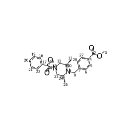 COC(=O)c1ccc(CN2[C@H](C)CN(S(=O)(=O)c3ccccc3)C[C@@H]2C)cc1